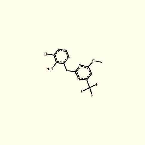 COc1cc(C(F)(F)F)nc(Cc2cccc(Cl)c2N)n1